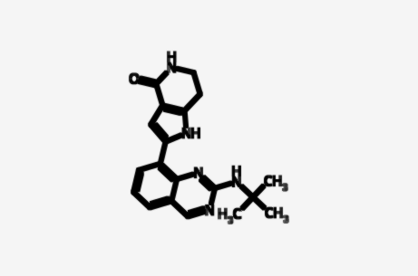 CC(C)(C)Nc1ncc2cccc(-c3cc4c([nH]3)CCNC4=O)c2n1